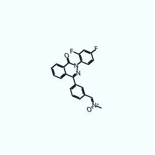 C/[N+]([O-])=C/c1cccc(-c2nn(-c3ccc(F)cc3F)c(=O)c3ccccc23)c1